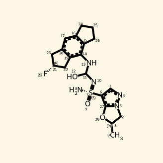 C[C@@H]1Cn2ncc([S@@](N)(=O)=NC(O)Nc3c4c(cc5c3C[C@H](F)C5)CCC4)c2O1